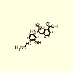 NCCOc1ccc(N[C@H]2Cc3cccc(C(=O)O)c3OB2O)cc1O